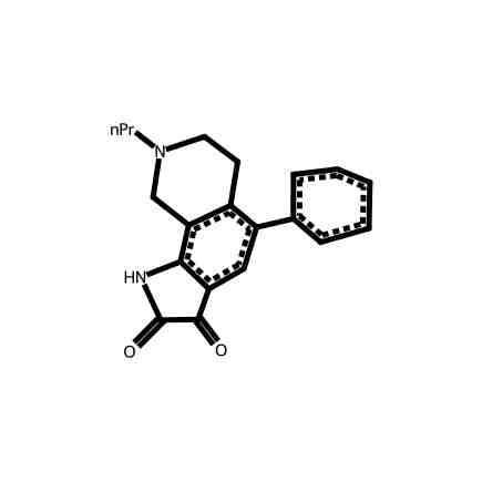 CCCN1CCc2c(-c3ccccc3)cc3c(c2C1)NC(=O)C3=O